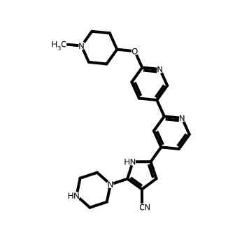 CN1CCC(Oc2ccc(-c3cc(-c4cc(C#N)c(N5CCNCC5)[nH]4)ccn3)cn2)CC1